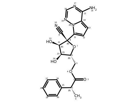 C[C@@H](C(=O)OC[C@H]1O[C@@](C#N)(c2ccc3c(N)ncnn23)[C@H](O)[C@@H]1O)c1ccccc1